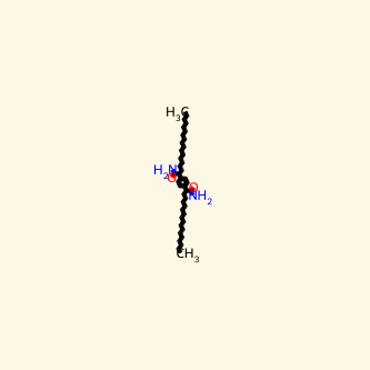 CCCCCCCCCCCCCCCCC(C(N)=O)c1ccc(C(CCCCCCCCCCCCCCCC)C(N)=O)cc1